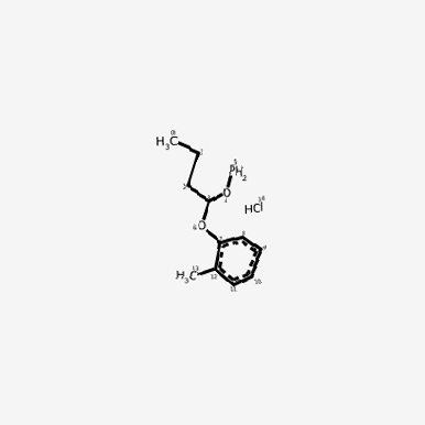 CCCC(OP)Oc1ccccc1C.Cl